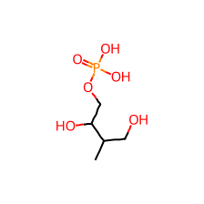 CC(CO)C(O)COP(=O)(O)O